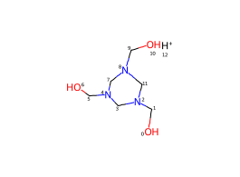 OCN1CN(CO)CN(CO)C1.[H+]